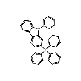 C1=CCCC(n2c3ccccc3c3ccc([Si](c4ccccc4)(c4ccccn4)C4C=CCCC4)cc32)=C1